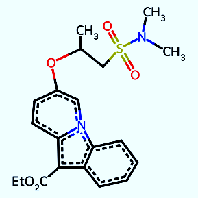 CCOC(=O)c1c2ccccc2n2cc(OC(C)CS(=O)(=O)N(C)C)ccc12